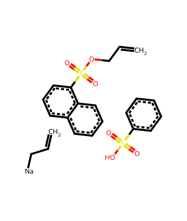 C=CCOS(=O)(=O)c1cccc2ccccc12.C=C[CH2][Na].O=S(=O)(O)c1ccccc1